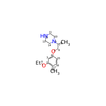 CCOc1cc(OCC(C)N2CCNCC2)ccc1C